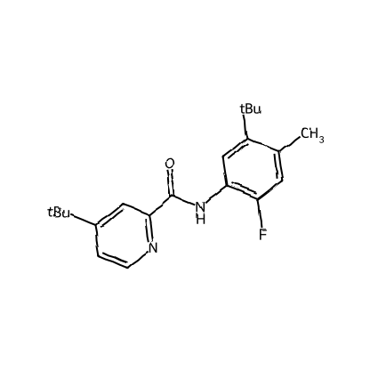 Cc1cc(F)c(NC(=O)c2cc(C(C)(C)C)ccn2)cc1C(C)(C)C